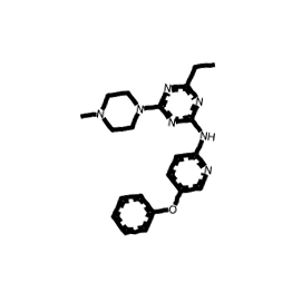 CCc1nc(Nc2ccc(Oc3ccccc3)cn2)nc(N2CCN(C)CC2)n1